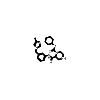 Cc1cn(Cc2cccc(NC(=O)C3CNCCN3C(=O)OC3CCCCC3)c2)cn1